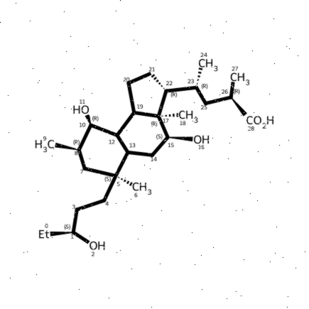 CC[C@H](O)CC[C@@]1(C)C[C@@H](C)[C@@H](O)C2C1C[C@H](O)[C@@]1(C)C2CC[C@@H]1[C@H](C)C[C@@H](C)C(=O)O